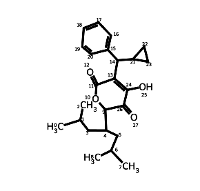 CC(C)CC(CC(C)C)C1OC(=O)C(C(c2ccccc2)C2CC2)=C(O)C1=O